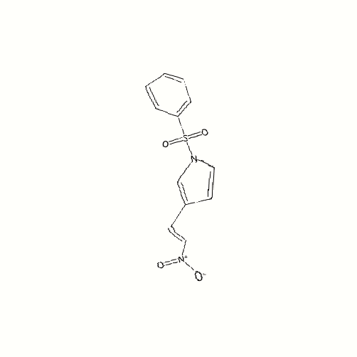 O=[N+]([O-])/C=C/c1ccn(S(=O)(=O)c2ccccc2)c1